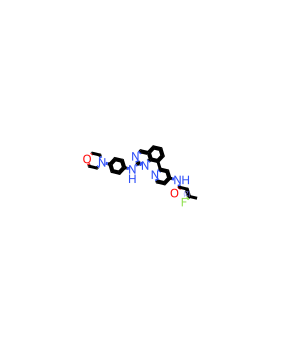 C/C(F)=C/C(=O)Nc1ccnc(-c2cccc3cnc(Nc4ccc(N5CCOCC5)cc4)nc23)c1